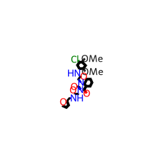 COc1cc(OC)c(NC(=O)Cn2c(=O)n(CC(=O)NCc3ccco3)c(=O)c3ccccc32)cc1Cl